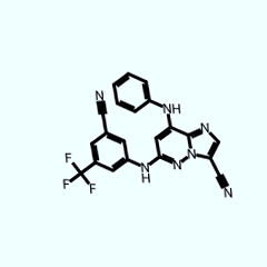 N#Cc1cc(Nc2cc(Nc3ccccc3)c3ncc(C#N)n3n2)cc(C(F)(F)F)c1